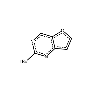 CC(C)(C)c1ncc2occc2n1